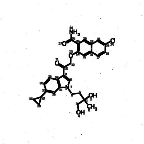 CC(O)(CO)CCn1cc(C(=O)COc2cc3ccc(Cl)cc3cc2C(N)=O)c2ccc(C3CC3)cc21